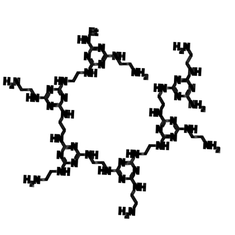 CCNc1nc(NCCN)nc(NCCNc2nc(NCCN)nc(NCCNc3nc(NCCN)nc(NCCNc4nc(NCCN)nc(NCCNc5nc(NCCN)nc(NCCNc6nc(N)nc(NCCN)n6)n5)n4)n3)n2)n1